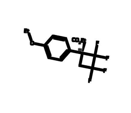 CCOC(=O)[C@@]1(c2ccc(OCC)cc2)CC(F)(F)C1(F)F